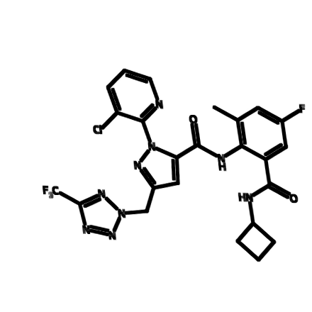 Cc1cc(F)cc(C(=O)NC2CCC2)c1NC(=O)c1cc(Cn2nnc(C(F)(F)F)n2)nn1-c1ncccc1Cl